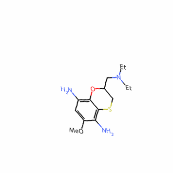 CCN(CC)CC1CSc2c(N)c(OC)cc(N)c2O1